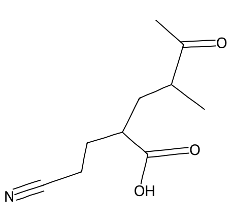 CC(=O)C(C)CC(CCC#N)C(=O)O